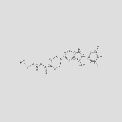 Cc1cc(-c2[nH]c3ccc(C4CCN(C(=O)CNCCC(C)C)CC4)cc3c2C(C)C)cc(C)n1